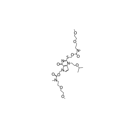 COCCOCCN(C)C(=O)OCSc1nc(=O)c2c(ccn2COC(=O)N(C)CCOCCOC)n1CCOC(C)C